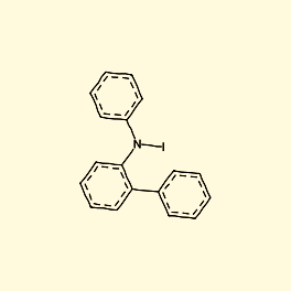 IN(c1ccccc1)c1ccccc1-c1ccccc1